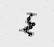 CCCc1nc(C(C)(C)O)c(C(=O)OCc2oc(=O)oc2C)n1Cc1ccc(-c2ccccc2-c2nnn(C(=O)c3ccc(CON(O)O)cc3)n2)cc1